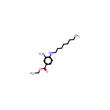 CCCCCCCCNc1ccc(C(=O)OCC)cc1N